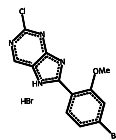 Br.COc1cc(Br)ccc1-c1nc2nc(Cl)ncc2[nH]1